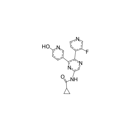 O=C(Nc1cnc(-c2ccncc2F)c(-c2ccc(O)nc2)n1)C1CC1